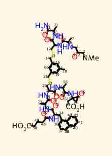 CNCC(=O)CNC(C)C(=O)NC(CSCc1cc(C)cc(CSCC(NC(=O)C(C)NC(=O)C(Cc2cccc3ccccc23)NC(=O)CCCC(=O)O)C(=O)NC(C)C(=O)NC2(CC(=O)O)CC2=O)c1)C(=O)NC(C)C(N)=O